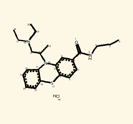 CCCNC(=O)c1ccc2c(c1)N(C(C)CN(CC)CC)c1ccccc1S2.Cl